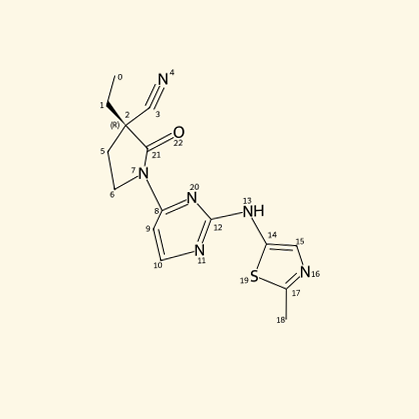 CC[C@]1(C#N)CCN(c2ccnc(Nc3cnc(C)s3)n2)C1=O